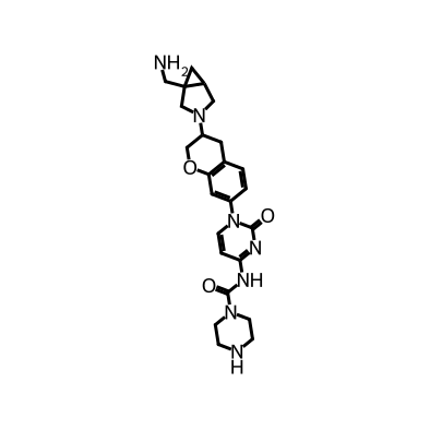 NCC12CC1CN(C1COc3cc(-n4ccc(NC(=O)N5CCNCC5)nc4=O)ccc3C1)C2